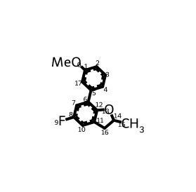 COc1cccc(-c2cc(F)cc3c2OC(C)C3)c1